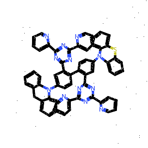 c1ccc(-c2nc(-c3ccccn3)nc(-c3cc(N4c5ccccc5Cc5ccccc54)ccc3-c3ccc(N4c5ccccc5Sc5ccccc54)cc3-c3nc(-c4ccccn4)nc(-c4ccccn4)n3)n2)nc1